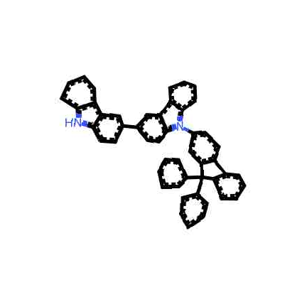 c1ccc(C2(c3ccccc3)c3ccccc3-c3ccc(-n4c5ccccc5c5cc(-c6ccc7[nH]c8ccccc8c7c6)ccc54)cc32)cc1